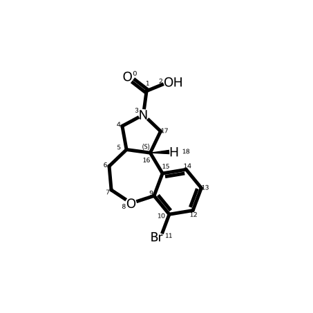 O=C(O)N1CC2CCOc3c(Br)cccc3[C@H]2C1